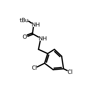 CC(C)(C)NC(=O)NCc1ccc(Cl)cc1Cl